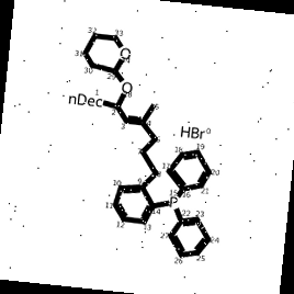 Br.CCCCCCCCCCC(C=C(C)CCCc1ccccc1P(c1ccccc1)c1ccccc1)OC1CCCCO1